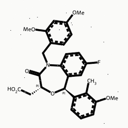 COc1ccc(CN2C(=O)[C@@H](CC(=O)O)O[C@H](c3cccc(OC)c3C)c3cc(F)ccc32)c(OC)c1